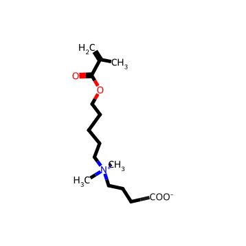 C=C(C)C(=O)OCCCCC[N+](C)(C)CCCC(=O)[O-]